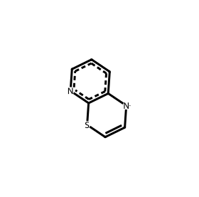 C1=CSc2ncccc2[N]1